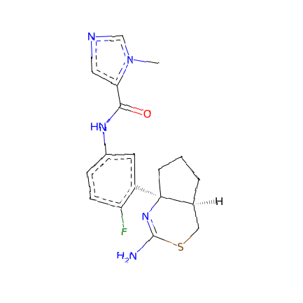 Cn1cncc1C(=O)Nc1ccc(F)c([C@]23CCC[C@H]2CSC(N)=N3)c1